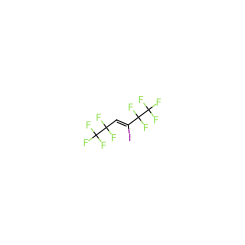 FC(F)(F)C(F)(F)C=C(I)C(F)(F)C(F)(F)F